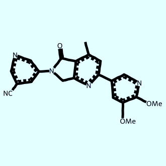 COc1cc(-c2cc(C)c3c(n2)CN(c2cncc(C#N)c2)C3=O)cnc1OC